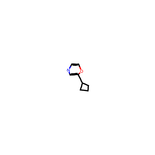 C1=COC(C2CCC2)=C[N]1